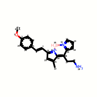 CCOc1ccc(/C=C/C2=[N+]3[BH2-]n4cccc4C(CCN)=C3C(C)=C2)cc1